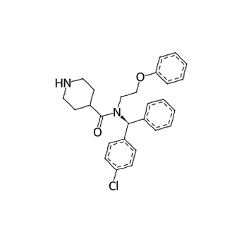 O=C(C1CCNCC1)N(CCOc1ccccc1)[C@@H](c1ccccc1)c1ccc(Cl)cc1